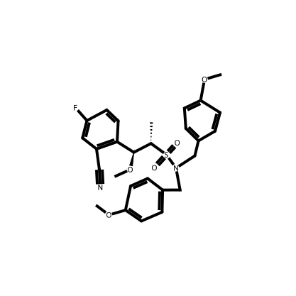 COc1ccc(CN(Cc2ccc(OC)cc2)S(=O)(=O)[C@@H](C)[C@@H](OC)c2ccc(F)cc2C#N)cc1